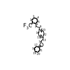 FC(F)(F)c1ccccc1CCN1CCN(CCOc2ccccc2)CC1